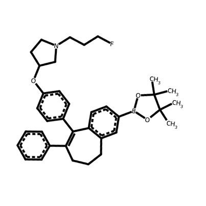 CC1(C)OB(c2ccc3c(c2)CCCC(c2ccccc2)=C3c2ccc(OC3CCN(CCCF)C3)cc2)OC1(C)C